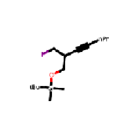 CCCC#CC(CI)CO[Si](C)(C)C(C)(C)C